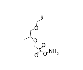 C=CCOCC(C)OCS(=O)(=O)ON